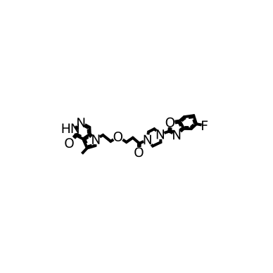 Cc1cn(CCOCCC(=O)N2CCN(c3nc4cc(F)ccc4o3)CC2)c2cn[nH]c(=O)c12